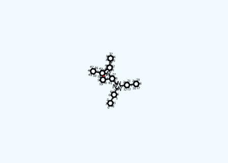 c1ccc(-c2ccc(-c3nc(-c4ccc(-c5ccccc5)cc4)nc(-c4ccc(-n5c6ccc(-c7ccccc7)cc6c6cc(-c7ccccc7)ccc65)c(-c5ccccc5)c4)n3)cc2)cc1